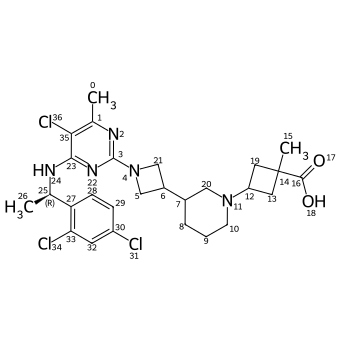 Cc1nc(N2CC(C3CCCN(C4CC(C)(C(=O)O)C4)C3)C2)nc(N[C@H](C)c2ccc(Cl)cc2Cl)c1Cl